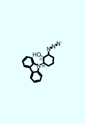 [N-]=[N+]=NC1CCC[C@@H](n2c3ccccc3c3ccccc32)[C@@H]1O